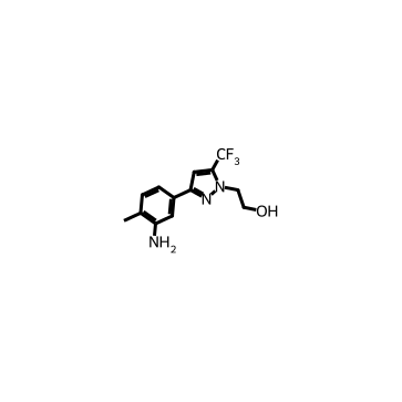 Cc1ccc(-c2cc(C(F)(F)F)n(CCO)n2)cc1N